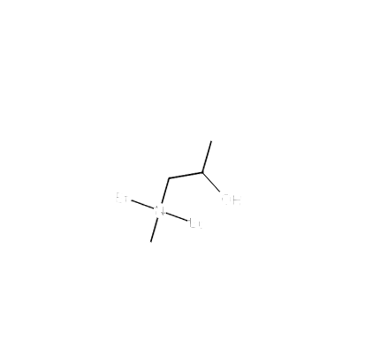 [CH2][N+](CC)(CC)CC(C)O